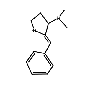 CN(C)C1CC[N]C1=Cc1ccccc1